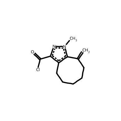 C=C1CCCCCc2c(C(=O)Cl)nn(C)c21